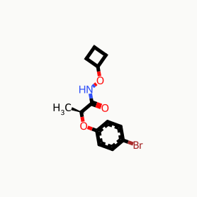 C[C@H](Oc1ccc(Br)cc1)C(=O)NOC1CCC1